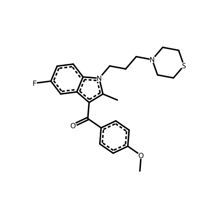 COc1ccc(C(=O)c2c(C)n(CCCN3CCSCC3)c3ccc(F)cc23)cc1